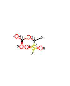 CC(OC([O])=O)S(C)(=O)=O